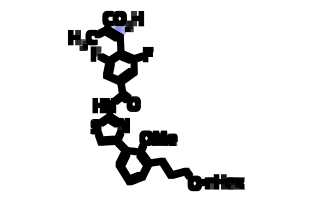 CCCCCCOCCCc1cccc(-c2csc(NC(=O)c3cc(F)c(/C=C(\C)C(=O)O)c(F)c3)n2)c1OC